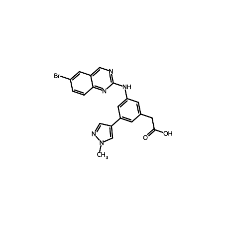 Cn1cc(-c2cc(CC(=O)O)cc(Nc3ncc4cc(Br)ccc4n3)c2)cn1